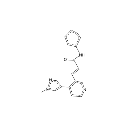 Cn1cc(-c2ccncc2/C=C/C(=O)Nc2ccccc2)cn1